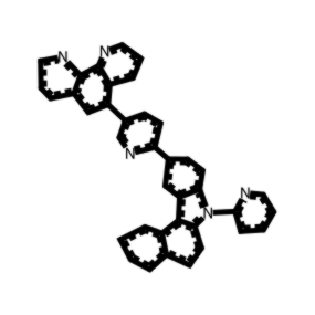 c1ccc(-n2c3ccc(-c4ccc(-c5cc6cccnc6c6ncccc56)cn4)cc3c3c4ccccc4ccc32)nc1